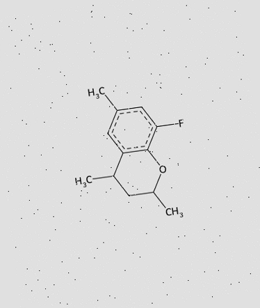 Cc1cc(F)c2c(c1)C(C)CC(C)O2